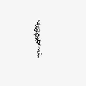 C=CC(=O)OCCCCOc1ccc(C(=O)Oc2ccc(OC(=O)C3C=CC(OC(=O)C=C)CO3)c(C)c2)cc1